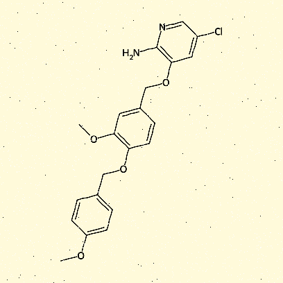 COc1ccc(COc2ccc(COc3cc(Cl)cnc3N)cc2OC)cc1